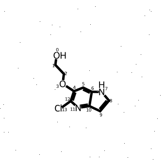 OCCOc1cc2[nH]ccc2nc1Cl